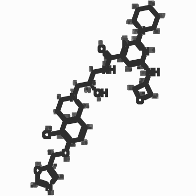 O=C(NC[C@H](O)CN1CCc2c(ccc(OCc3cnco3)c2Cl)C1)c1cc(NC2COC2)nc(N2CCCCC2)n1